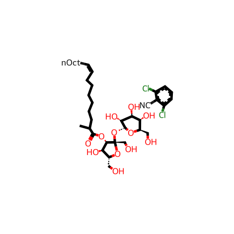 CCCCCCCC/C=C\CCCCCCC(C)C(=O)O[C@H]1[C@H](O)[C@@H](CO)O[C@@]1(CO)O[C@H]1O[C@H](CO)[C@@H](O)[C@H](O)[C@H]1O.N#Cc1c(Cl)cccc1Cl